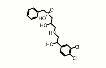 O=P(O)(Cc1ccccc1)CC(O)CNCC(O)c1ccc(Cl)c(Cl)c1